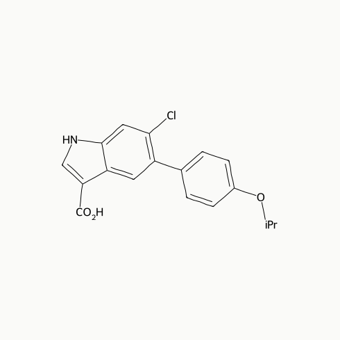 CC(C)Oc1ccc(-c2cc3c(C(=O)O)c[nH]c3cc2Cl)cc1